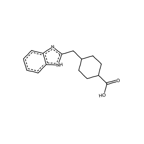 O=C(O)C1CCC(Cc2nc3ccccc3[nH]2)CC1